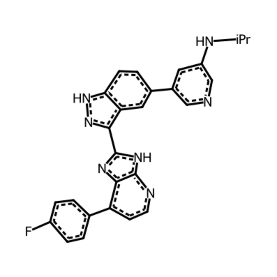 CC(C)Nc1cncc(-c2ccc3[nH]nc(-c4nc5c(-c6ccc(F)cc6)ccnc5[nH]4)c3c2)c1